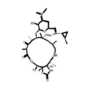 CC[C@H]1OC(=O)C(C)C(=O)[C@H](C)[C@@H](OC2OC(CN[C@@H]3C[C@H]3C)CC(N(C)C)C2O)[C@](C)(OC)C[C@@H](C)CN[C@H](C)[C@H]2NC(=O)O[C@@]21C